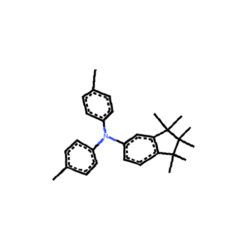 Cc1ccc(N(c2ccc(C)cc2)c2ccc3c(c2)C(C)(C)C(C)(C)C3(C)C)cc1